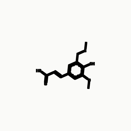 COc1cc(/C=C/C(=O)O)cc(CSC)c1O